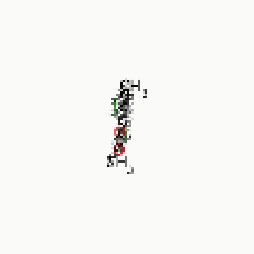 CCCCOc1ccc(OCC2CCC(c3ccc(-c4ccc(C)cc4)c(F)c3F)CC2)c(F)c1